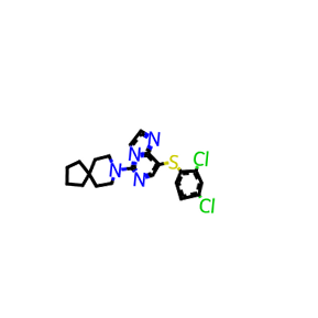 Clc1ccc(Sc2cnc(N3CCC4(CCCC4)CC3)n3ccnc23)c(Cl)c1